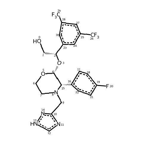 OC[C@@H](O[C@H]1OCCN(Cc2nc[nH]n2)[C@H]1c1ccc(F)cc1)c1cc(C(F)(F)F)cc(C(F)(F)F)c1